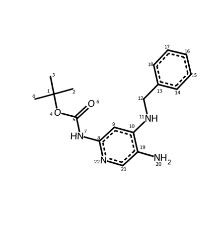 CC(C)(C)OC(=O)Nc1cc(NCc2ccccc2)c(N)cn1